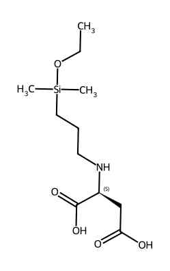 CCO[Si](C)(C)CCCN[C@@H](CC(=O)O)C(=O)O